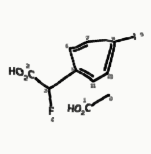 CC(=O)O.O=C(O)C(F)c1ccc(I)cc1